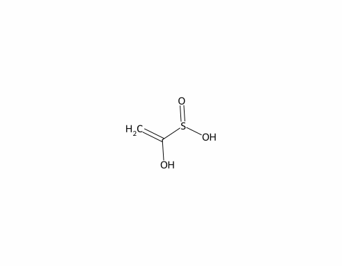 C=C(O)S(=O)O